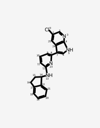 Clc1cnc2[nH]cc(-c3cccc(NC4CCc5ccccc54)n3)c2c1